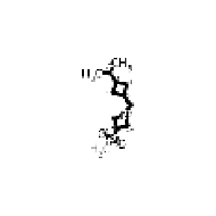 CC(C)C1CC(CN2CC(S(C)(=O)=O)C2)C1